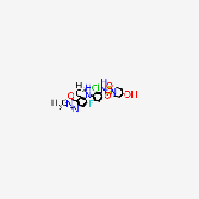 Cc1c(Nc2c(F)ccc(NS(=O)(=O)N3CCC(O)CC3)c2Cl)ccc2ncn(C)c(=O)c12